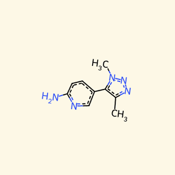 Cc1nnn(C)c1-c1ccc(N)nc1